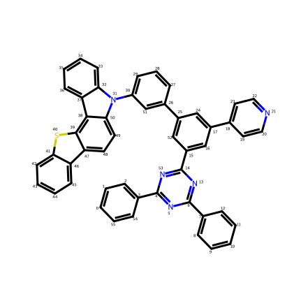 c1ccc(-c2nc(-c3ccccc3)nc(-c3cc(-c4ccncc4)cc(-c4cccc(-n5c6ccccc6c6c7sc8ccccc8c7ccc65)c4)c3)n2)cc1